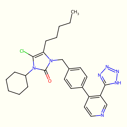 CCCCCc1c(Cl)n(C2CCCCC2)c(=O)n1Cc1ccc(-c2ccncc2-c2nnn[nH]2)cc1